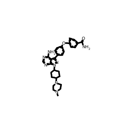 CN1CCN(C2CCC(n3nc(-c4ccc(Oc5ccc(C(N)=O)cc5)cc4)c4c(N)ncnc43)CC2)CC1